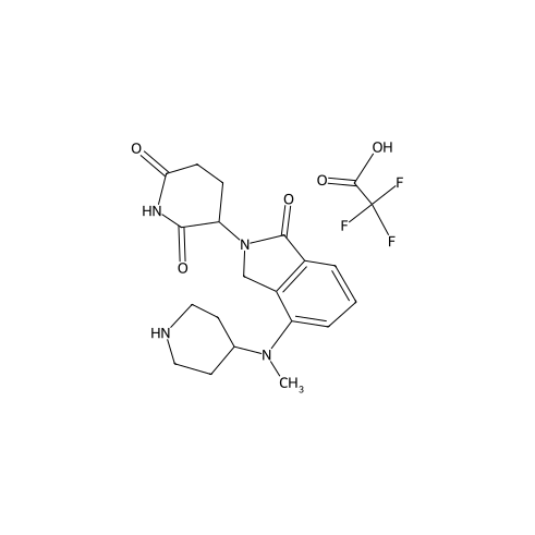 CN(c1cccc2c1CN(C1CCC(=O)NC1=O)C2=O)C1CCNCC1.O=C(O)C(F)(F)F